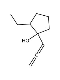 C=C=CC1(O)CCCC1CC